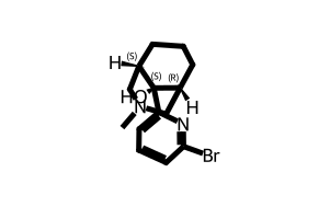 CN1C[C@H]2CCC[C@@H](C1)[C@@]2(O)c1cccc(Br)n1